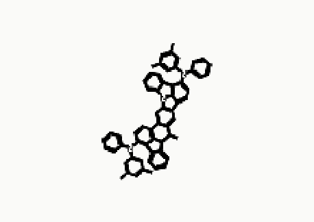 Cc1cc(C)cc(N(c2ccccc2)c2ccc3c4c2-c2ccccc2C4C(C)c2cc4c5ccc(N(c6ccccc6)c6cc(C)cc(C)c6)c6c7ccccc7n(c4cc2-3)c56)c1